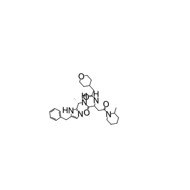 CC1CCCCN1C(=O)CC(NC(=O)CC1CCOCC1)C(=O)N[C@@H](C)c1ncc(Cc2ccccc2)[nH]1